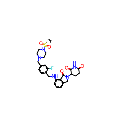 CC(C)S(=O)(=O)N1CCN(Cc2ccc(CNc3cccc4c3C(=O)N(C3CCC(=O)NC3=O)C4)c(F)c2)CC1